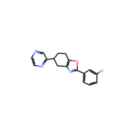 Clc1cccc(-c2nc3c(o2)CCC(c2cnccn2)C3)c1